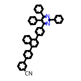 N#Cc1cccc(-c2ccc(-c3ccc(-c4ccc(-c5nc(-c6ccccc6)nc(-c6ccccc6)c5-c5ccccc5)cc4)c4ccccc34)cc2)c1